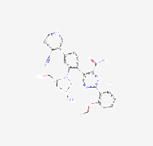 CCOc1cccc(F)c1-c1ncc(-c2ccc(-c3cnccc3C#N)cc2N2C[C@@H](N)C[C@H]2CO)c(C(N)=O)n1